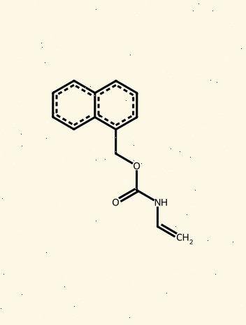 C=CNC(=O)OCc1cccc2ccccc12